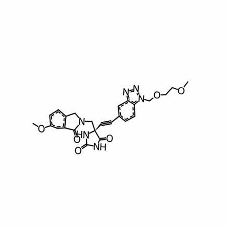 COCCOCn1nnc2cc(C#C[C@]3(CN4Cc5ccc(OC)cc5C4=O)NC(=O)NC3=O)ccc21